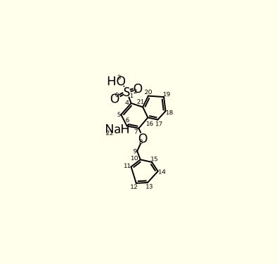 O=S(=O)(O)c1ccc(OCc2ccccc2)c2ccccc12.[NaH]